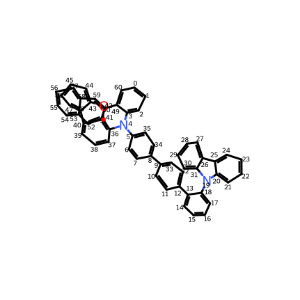 c1ccc(N(c2ccc(-c3ccc(-c4ccccc4-n4c5ccccc5c5ccccc54)cc3)cc2)c2cccc3c2oc2ccccc23)c(-c2ccc3ccccc3c2)c1